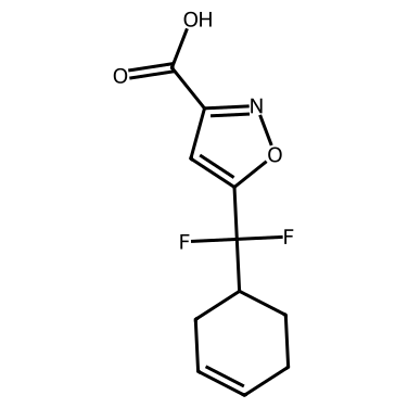 O=C(O)c1cc(C(F)(F)C2CC=CCC2)on1